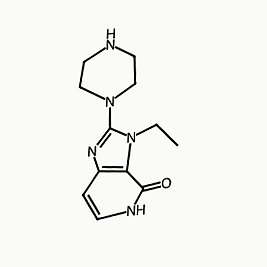 CCn1c(N2CCNCC2)nc2cc[nH]c(=O)c21